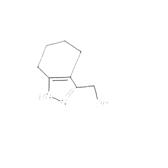 OCc1n[nH]c2c1CCCC2